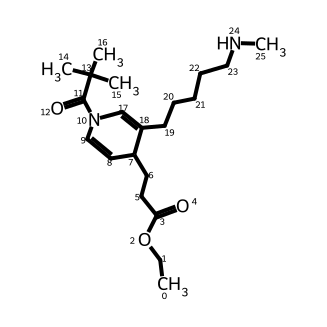 CCOC(=O)CCC1C=CN(C(=O)C(C)(C)C)C=C1CCCCCNC